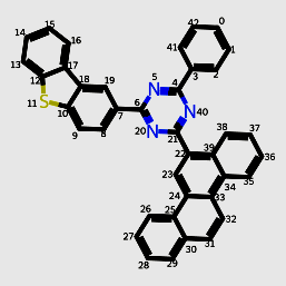 c1ccc(-c2nc(-c3ccc4sc5ccccc5c4c3)nc(-c3cc4c5ccccc5ccc4c4ccccc34)n2)cc1